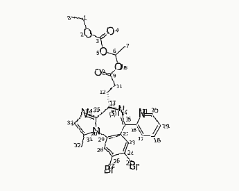 CCOC(=O)OC(C)OC(=O)CC[C@@H]1N=C(c2ccccn2)c2cc(Br)c(Br)cc2-n2c(C)cnc21